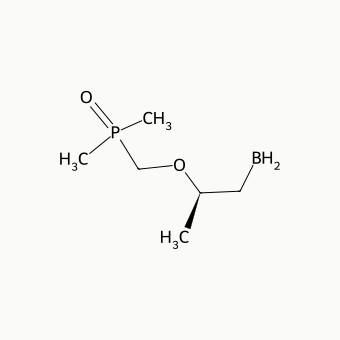 BC[C@@H](C)OCP(C)(C)=O